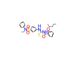 CCCC(C)Oc1ccccc1C(=O)NC(=S)Nc1ccc(S(=O)(=O)N(CC)c2ccccc2)cc1